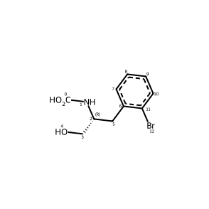 O=C(O)N[C@@H](CO)Cc1ccccc1Br